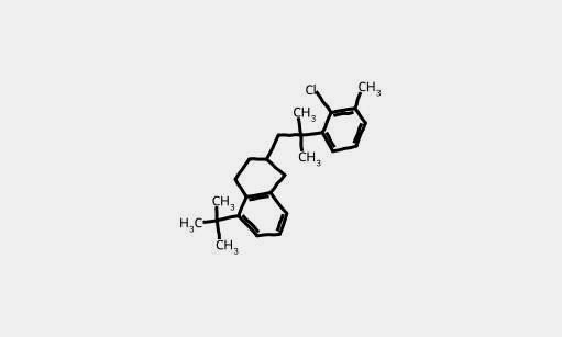 Cc1cccc(C(C)(C)CC2CCc3c(cccc3C(C)(C)C)C2)c1Cl